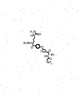 CC(=O)N[C@@H](CCCNC(=N)N)C(=O)c1ccc(OC(=O)CNC(=O)[C@@H](NC(=O)CN)C(C)C)cc1